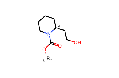 CC[C@@H](C)OC(=O)N1CCCC[C@H]1CCO